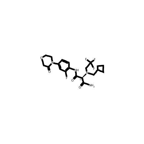 NC(=O)[C@@H](C(=O)Nc1ccc(N2CCOCC2=O)cc1F)N(CC1CCC1)CC(F)(F)F